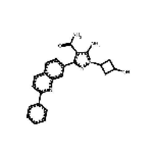 NC(=O)c1c(-c2ccc3ccc(-c4ccccc4)nc3c2)nn(C2CC(O)C2)c1N